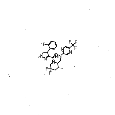 C[C@@H]1CC(F)(F)CN(C(=O)c2nn(C)cc2-c2ccccc2F)C1CNc1cnc(C(F)(F)F)cn1